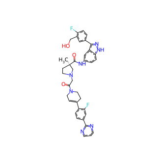 C[C@@]1(C(=O)Nc2ccc3[nH]nc(-c4ccc(F)c(CO)c4)c3c2)CCN(CC(=O)N2CC=C(c3ccc(-c4ncccn4)cc3F)CC2)C1